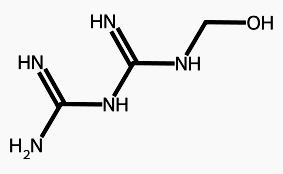 N=C(N)NC(=N)NCO